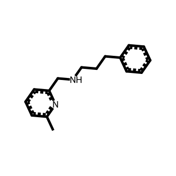 Cc1cccc(CNCCCc2ccccc2)n1